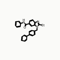 CCc1nc2ccc(C(=O)Nc3ccccc3)cc2n1Cc1ccc(-c2ccccc2)cc1